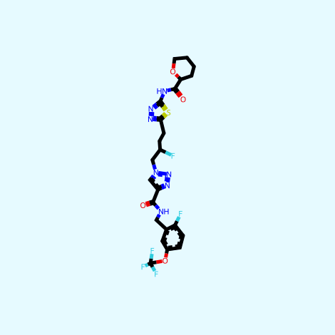 O=C(NCc1cc(OC(F)(F)F)ccc1F)c1cn(CC(F)CCc2nnc(NC(=O)C3CCCCO3)s2)nn1